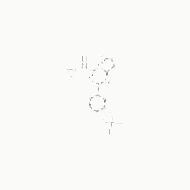 FC(F)(F)Oc1cccc(-c2nc(NC3CC3)n3nccc3n2)c1